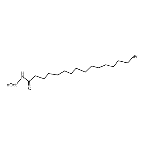 CCCCCCCCNC(=O)CCCCCCCCCCCCCCC(C)C